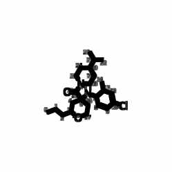 CCCC1CC(NC2C=CC(Cl)=CC2C)(C(=O)N2CCC(C(C)C)CC2)CCO1